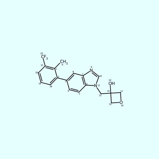 Cc1c(-c2ccc3c(c2)ncn3CC2(O)COC2)cccc1C(F)(F)F